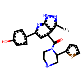 Cc1n[nH]c2nc(-c3ccc(O)cc3)cc(C(=O)N3CCNCC3c3cccs3)c12